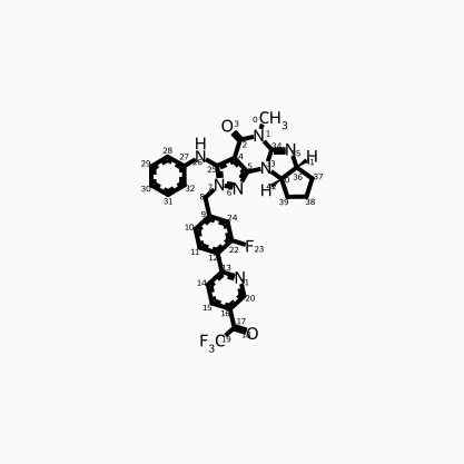 CN1C(=O)c2c(nn(Cc3ccc(-c4ccc(C(=O)C(F)(F)F)cn4)c(F)c3)c2Nc2ccccc2)N2C1=N[C@@H]1CCC[C@@H]12